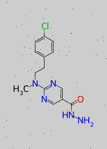 CN(CCc1ccc(Cl)cc1)c1ncc(C(=O)NN)cn1